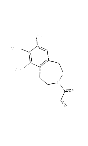 C=CC(=O)N1CCc2cc(OC)c(OC)c(OC)c2CC1